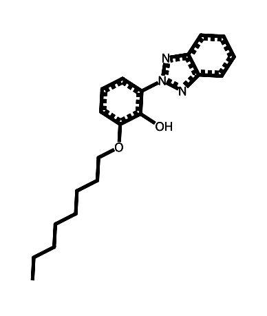 CCCCCCCCOc1cccc(-n2nc3ccccc3n2)c1O